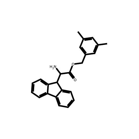 Cc1cc(C)cc(COC(=O)C(N)C2c3ccccc3-c3ccccc32)c1